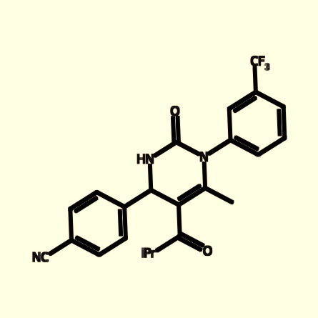 CC1=C(C(=O)C(C)C)C(c2ccc(C#N)cc2)NC(=O)N1c1cccc(C(F)(F)F)c1